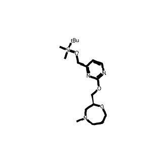 CN1CCCO[C@H](COc2nccc(CO[Si](C)(C)C(C)(C)C)n2)C1